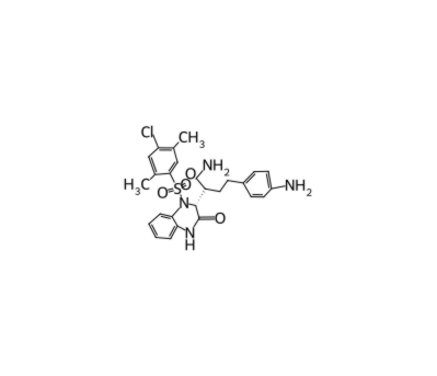 Cc1cc(S(=O)(=O)N2c3ccccc3NC(=O)[C@H]2C(CCc2ccc(N)cc2)C(N)=O)c(C)cc1Cl